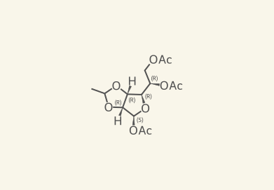 CC(=O)OC[C@@H](OC(C)=O)[C@H]1O[C@@H](OC(C)=O)[C@@H]2OC(C)O[C@@H]21